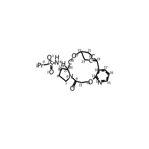 CC(C)S(=O)(=O)N[C@H]1CCN2C(=O)COc3ncccc3C3CCC(CC3)OC[C@@H]12